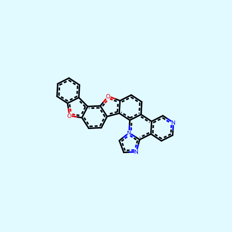 c1ccc2c(c1)oc1ccc3c(oc4ccc5c6cnccc6c6nccn6c5c43)c12